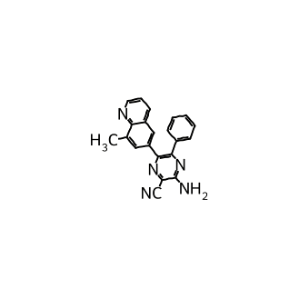 Cc1cc(-c2nc(C#N)c(N)nc2-c2ccccc2)cc2cccnc12